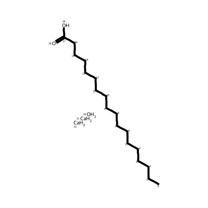 CCCCCCCCCCCCCCCCCC(=O)O.O.[CaH2].[CaH2]